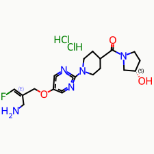 Cl.Cl.NC/C(=C\F)COc1cnc(N2CCC(C(=O)N3CC[C@H](O)C3)CC2)nc1